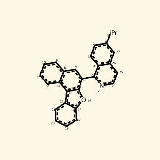 CC(C)c1ccc2c(-c3cc4ccccc4c4c3oc3ccccc34)nccc2c1